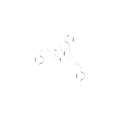 Cc1c(N2CCN(Cc3ccc(F)cc3)CC2)c(=O)n(C[C@@H](N)c2ccccc2)c(=O)n1Cc1c(F)cccc1F